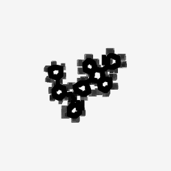 c1ccc(-c2cccc(N(c3ccc(-c4c5ccccc5c(-c5ccccn5)c5ccccc45)cc3)c3ccccn3)c2)cc1